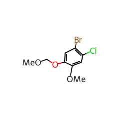 COCOc1cc(Br)c(Cl)cc1OC